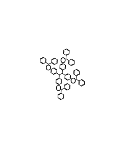 c1ccc(C(Oc2ccc(C(c3ccc(OC(c4ccccc4)c4ccccc4)cc3)C(c3ccc(OC(c4ccccc4)c4ccccc4)cc3)c3ccc(OC(c4ccccc4)c4ccccc4)cc3)cc2)c2ccccc2)cc1